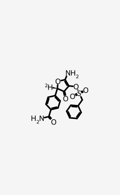 [2H][C@@]1(c2ccc(C(N)=O)cc2)OC(N)=C(OS(=O)(=O)Cc2ccccc2)C1=O